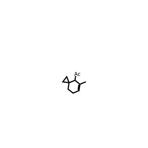 CC(=O)C1C(C)=CCCC12CC2